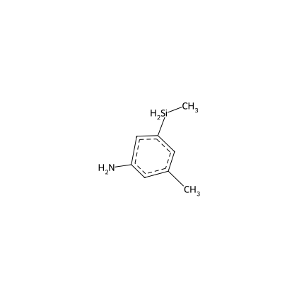 C[SiH2]c1cc(C)cc(N)c1